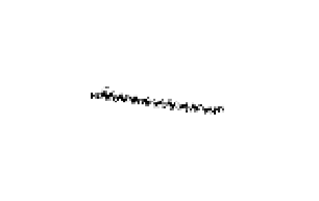 [N-]=[N+]=NCCOCCOCCOCCOCCOCCOCCOCCOCCC(=O)O